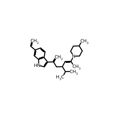 C=Cc1ccc2c(C(=C)CC(/C=C(\C)N3CCC(C)CC3)C(C)C)c[nH]c2c1